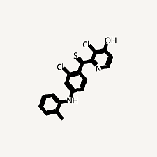 Cc1ccccc1Nc1ccc(C(=S)c2nccc(O)c2Cl)c(Cl)c1